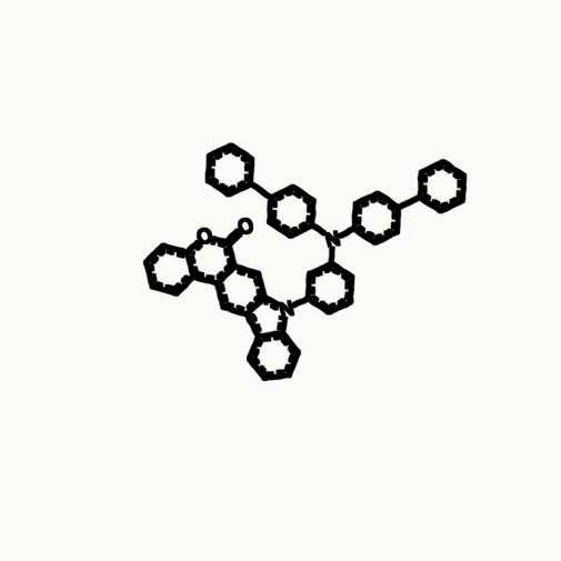 O=c1oc2ccccc2c2cc3c4ccccc4n(-c4cccc(N(c5ccc(-c6ccccc6)cc5)c5ccc(-c6ccccc6)cc5)c4)c3cc12